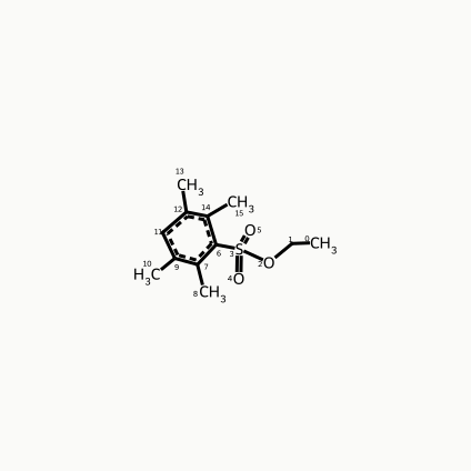 CCOS(=O)(=O)c1c(C)c(C)cc(C)c1C